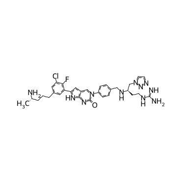 C[C@H](N)CCCc1cc(Cl)c(F)c(-c2cc3cn(-c4ccc(CN[C@H](CCNC(=N)N)Cn5ccnn5)cc4)c(=O)nc3[nH]2)c1